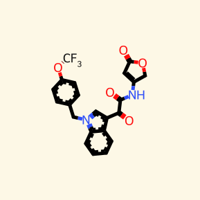 O=C1C=C(NC(=O)C(=O)c2cn(Cc3ccc(OC(F)(F)F)cc3)c3ccccc23)CO1